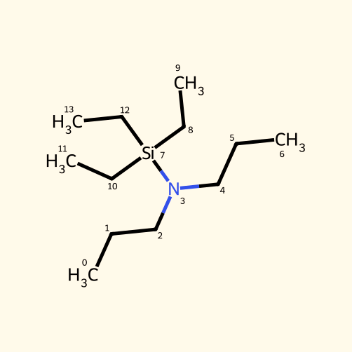 CCCN(CCC)[Si](CC)(CC)CC